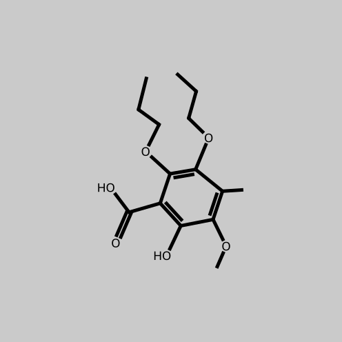 CCCOc1c(C)c(OC)c(O)c(C(=O)O)c1OCCC